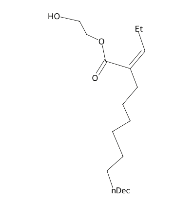 CCC=C(CCCCCCCCCCCCCCCC)C(=O)OCCO